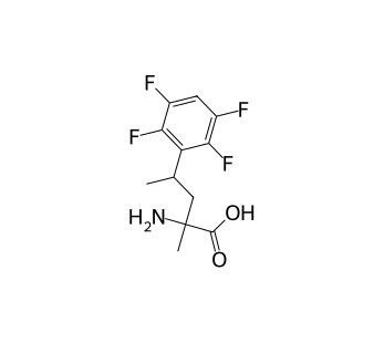 CC(CC(C)(N)C(=O)O)c1c(F)c(F)cc(F)c1F